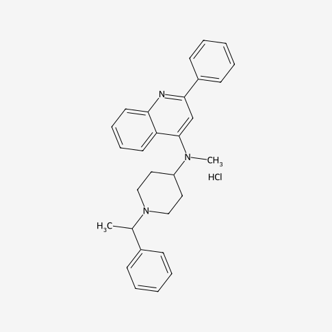 CC(c1ccccc1)N1CCC(N(C)c2cc(-c3ccccc3)nc3ccccc23)CC1.Cl